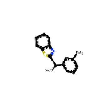 COC(c1cccc([N+](=O)[O-])c1)c1nc2ccccc2s1